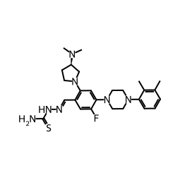 Cc1cccc(N2CCN(c3cc(N4CC[C@@H](N(C)C)C4)c(C=NNC(N)=S)cc3F)CC2)c1C